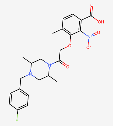 Cc1ccc(C(=O)O)c([N+](=O)[O-])c1OCC(=O)N1CC(C)N(Cc2ccc(F)cc2)CC1C